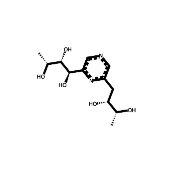 C[C@@H](O)[C@H](O)[C@H](O)c1cncc(C[C@@H](O)[C@@H](C)O)n1